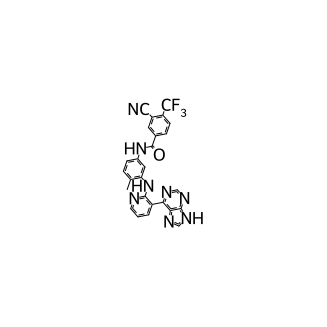 Cc1ccc(NC(=O)c2ccc(C(F)(F)F)c(C#N)c2)cc1Nc1ncccc1-c1ncnc2[nH]cnc12